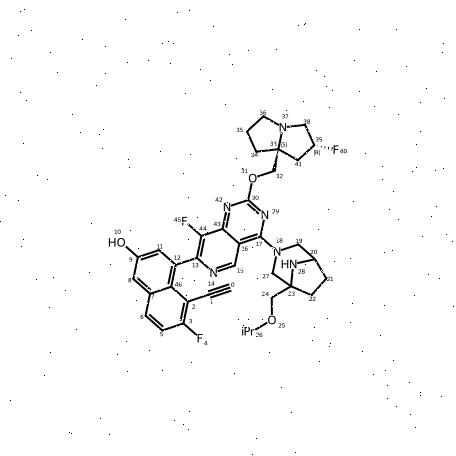 C#Cc1c(F)ccc2cc(O)cc(-c3ncc4c(N5CC6CCC(COC(C)C)(C5)N6)nc(OC[C@@]56CCCN5C[C@H](F)C6)nc4c3F)c12